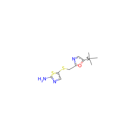 C[Si](C)(C)c1cnc(CSc2cnc(N)s2)o1